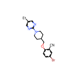 CCc1cnc(N2CCC(COc3ccc(Br)cc3C#N)CC2)nc1